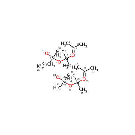 C[SiH](C)O[Si](C)(C)O[Si](C)(C)[O-].C[SiH](C)O[Si](C)(C)O[Si](C)(C)[O-].[K+].[K+]